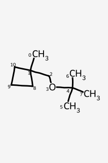 CC1(COC(C)(C)C)CCC1